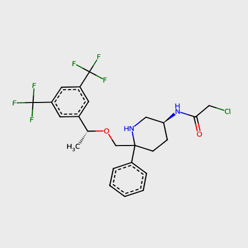 C[C@@H](OCC1(c2ccccc2)CC[C@H](NC(=O)CCl)CN1)c1cc(C(F)(F)F)cc(C(F)(F)F)c1